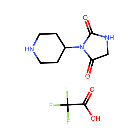 O=C(O)C(F)(F)F.O=C1CNC(=O)N1C1CCNCC1